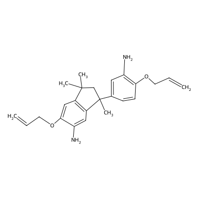 C=CCOc1ccc(C2(C)CC(C)(C)c3cc(OCC=C)c(N)cc32)cc1N